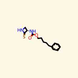 O=C(N[C@H]1CNC1=S)OCCCCCc1ccccc1